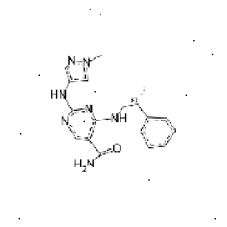 C[C@@H](CNc1nc(Nc2cnn(C)c2)ncc1C(N)=O)c1ccccc1